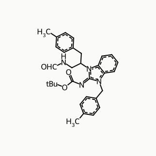 Cc1ccc(CC(CNC=O)n2c(=NC(=O)OC(C)(C)C)n(Cc3ccc(C)cc3)c3ccccc32)cc1